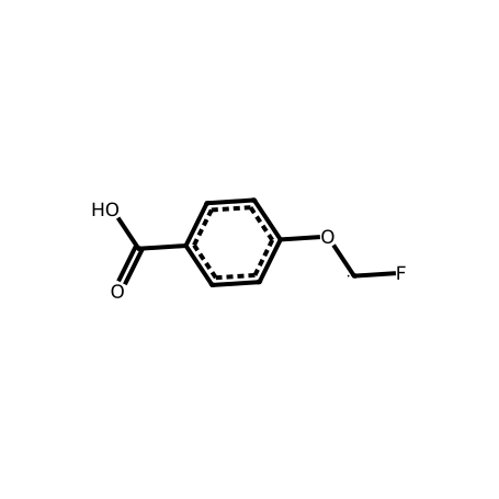 O=C(O)c1ccc(O[CH]F)cc1